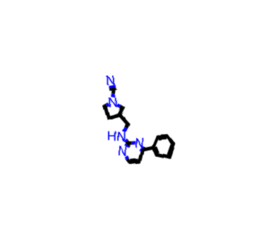 N#CN1CCC(CNc2nccc(-c3ccccc3)n2)C1